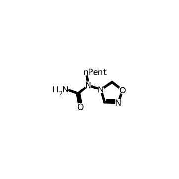 CCCCCN(C(N)=O)N1C=NOC1